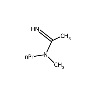 CCCN(C)C(C)=N